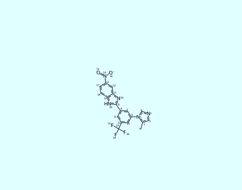 Cc1cncn1-c1cc(-c2nc3cc([N+](=O)[O-])ccc3[nH]2)cc(C(F)(F)F)c1